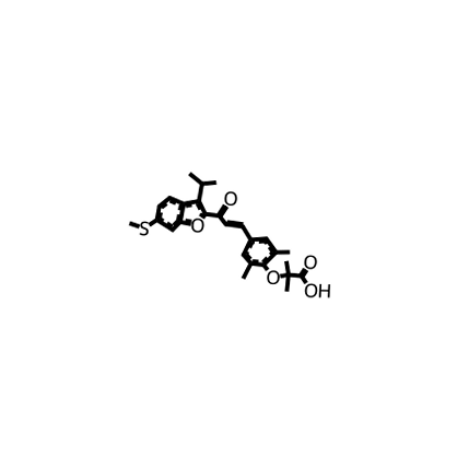 CSc1ccc2c(C(C)C)c(C(=O)C=Cc3cc(C)c(OC(C)(C)C(=O)O)c(C)c3)oc2c1